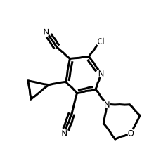 N#Cc1c(Cl)nc(N2CCOCC2)c(C#N)c1C1CC1